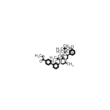 COC(=O)c1ccc(-c2cccc(NCC(C)N(CC(O[Si](C)(C)C(C)(C)C)c3cccc(Cl)c3)C(=O)OC(C)(C)C)c2)cc1